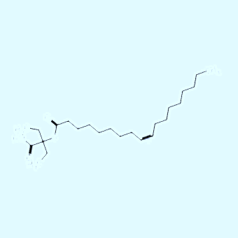 CCCCCCCC/C=C\CCCCCCCC(=O)SC(CC)(CC)C(=O)O